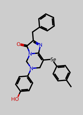 Cc1ccc([Se]C2=C3N=C(Cc4ccccc4)C(=O)N3CN(c3ccc(O)cc3)C2)cc1